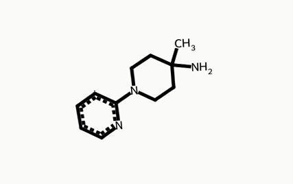 CC1(N)CCN(c2[c]cccn2)CC1